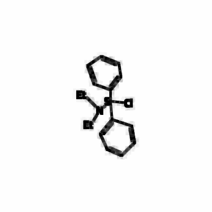 CCN(CC)[Si](Cl)(c1ccccc1)c1ccccc1